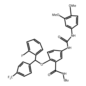 COc1ccc(NC(=O)Nc2ccc(OC(c3ccc(C(F)(F)F)cc3)c3ccccc3F)c(C(=O)NC(C)(C)C)c2)cc1OC